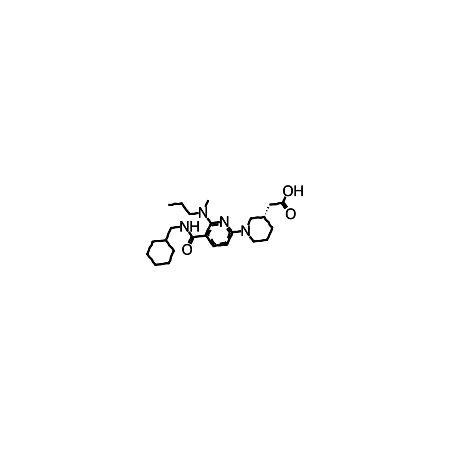 CCCN(C)c1nc(N2CCC[C@@H](CC(=O)O)C2)ccc1C(=O)NCC1CCCCC1